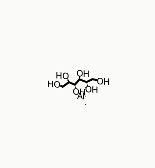 OC[C@@H](O)[C@@H](O)[C@H](O)[C@@H](O)CO.[Al]